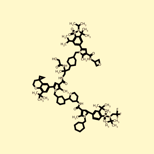 Cc1c(C(=O)NCC(C)(CC2CCC(Cn3c(-c4cc(C(C)C)c5c(c4)C(C)(C)N(C(C)C)S5(=O)=O)cc(C(=O)NC4COC4)c3C)CC2)NC(=O)CO)cc(-c2cc(C(C)(C)C)c3c(c2)C2(CCO3)CC2)n1CC1CCCC(C2CC(NC(=O)c3cc(-c4ccc(S(=O)(=O)N(CC(F)(F)F)C(C)(C)C)c(C(C)(C)C)c4)n(CC4CCCCC4)c3C)CCO2)C1